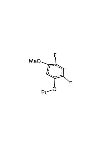 CCOc1cc(OC)c(F)[c]c1F